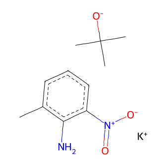 CC(C)(C)[O-].Cc1cccc([N+](=O)[O-])c1N.[K+]